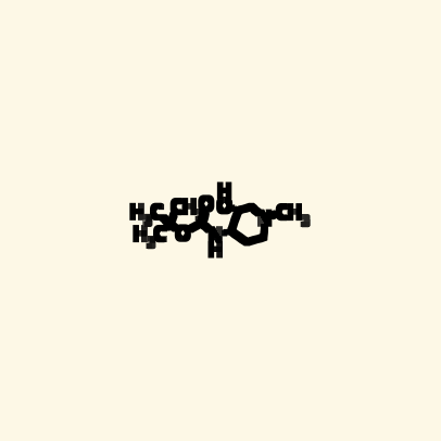 CN1CC[C@H](NC(=O)OC(C)(C)C)[C@H](O)C1